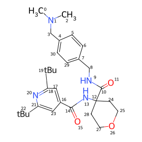 CN(C)Cc1ccc(CNC(=O)C2(NC(=O)c3cc(C(C)(C)C)nc(C(C)(C)C)c3)CCOCC2)cc1